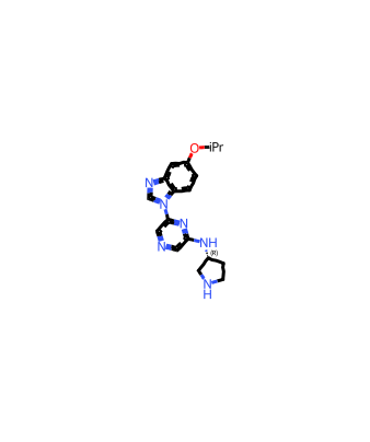 CC(C)Oc1ccc2c(c1)ncn2-c1cncc(N[C@@H]2CCNC2)n1